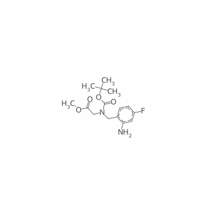 COC(=O)CN(Cc1ccc(F)cc1N)C(=O)OC(C)(C)C